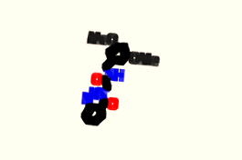 COc1cc(CNC(=O)Cn2nnc3ccccc3c2=O)cc(OC)c1